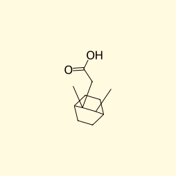 CC1C2CCC(CC2)C1(C)CC(=O)O